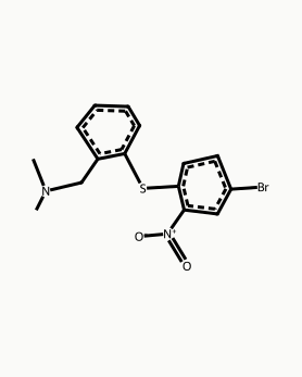 CN(C)Cc1ccccc1Sc1ccc(Br)cc1[N+](=O)[O-]